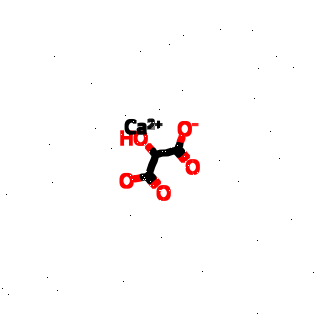 O=C([O-])C(O)C(=O)[O-].[Ca+2]